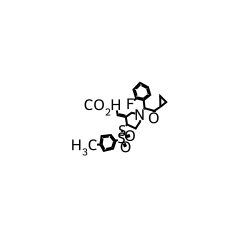 Cc1ccc(S(=O)(=O)SC2CCN(C(C(=O)C3CC3)c3ccccc3F)CC2=CC(=O)O)cc1